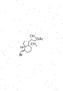 CC(=O)OC[C@@H](C)[C@H]1CC[C@H]2/C(=C/Br)CCC[C@]12C